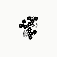 Cc1ccccc1-c1cc2c(c3c1oc1ccccc13)-c1ccc(N(c3ccc4c(c3)C(C)(C)c3c5c(c6oc7ccccc7c6c3-4)-c3ccccc3C5(C)C)c3ccc4c5ccccc5n(-c5ccccc5)c4c3)cc1C2(C)C